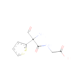 NC(C=O)(C(=O)NCC(=O)O)c1cccs1